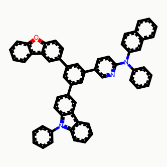 c1ccc(N(c2ccc3ccccc3c2)c2ccc(-c3cc(-c4ccc5oc6ccccc6c5c4)cc(-c4ccc5c(c4)c4ccccc4n5-c4ccccc4)c3)cn2)cc1